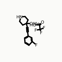 COC1(C#Cc2cccc(F)c2)CCNCC1.O=C(O)C(F)(F)F